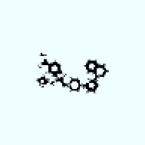 COC(=O)c1ccc2nc(CN3CCN(c4cccc(N5CCCc6ccccc65)n4)CC3)n(C[C@@H]3CCO3)c2c1